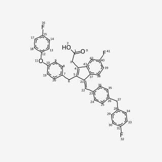 O=C(O)CC1=C(Cc2ccc(Oc3ccc(F)cc3)cc2)/C(=C/c2ccc(Cc3ccc(F)cc3)cc2)c2ccc(F)cc21